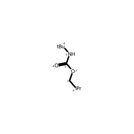 CC(C)COC(=O)NC(C)(C)C